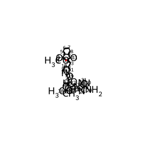 COC(=O)c1ccccc1C(=O)/C=C/c1ccnc(OC[C@H]2O[C@@H](n3cnc4c(N)ncnc43)[C@@H]3OC(C)(C)O[C@@H]32)c1